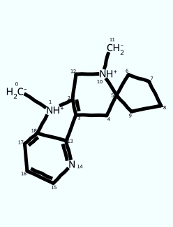 [CH2-][NH+]1C2=C(CC3(CCCC3)[NH+]([CH2-])C2)c2ncccc21